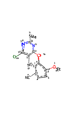 CCOc1ccc(C#N)cc1Oc1nc(SC)nc(Cl)c1[N+](=O)[O-]